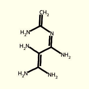 C=C(N)/N=C(/N)C(N)=C(N)N